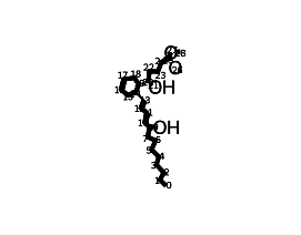 CCCCCCCCC(O)/C=C/C=C/[C@H]1CC=CC[C@@H]1C(O)CCCC(=O)OC